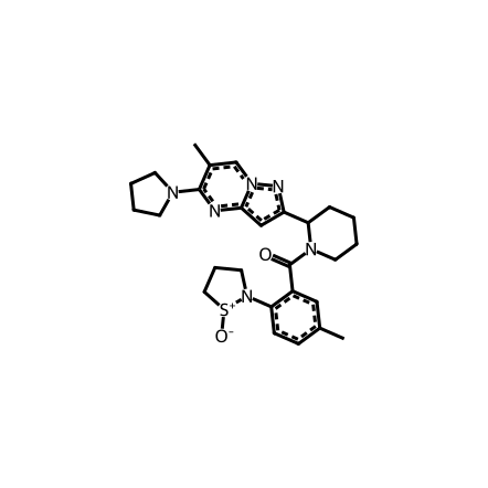 Cc1ccc(N2CCC[S+]2[O-])c(C(=O)N2CCCCC2c2cc3nc(N4CCCC4)c(C)cn3n2)c1